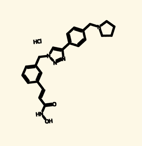 Cl.O=C(C=Cc1cccc(Cn2cc(-c3ccc(CN4CCCC4)cc3)nn2)c1)NO